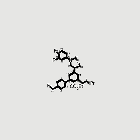 CCOC(=O)C(CC(C)C)c1cc(-c2ccc(CF)cc2)cc(C2CCCN(c3ccc(F)c(F)c3)C2)c1